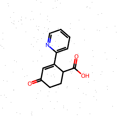 O=C1C=C(c2ccccn2)C(C(=O)O)CC1